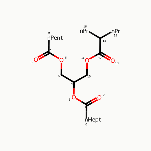 CCCCCCCC(=O)OC(COC(=O)CCCCC)COC(=O)C(CCC)CCC